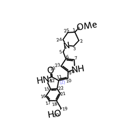 COC1CCN(Cc2c[nH]c(/C=C3\C(=O)Nc4ccc(CO)cc43)c2)CC1